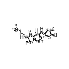 CCCN1CC(F)C(NCCCN(C)C)N(C)C1NC(=O)Nc1ccc(Cl)c(Cl)c1